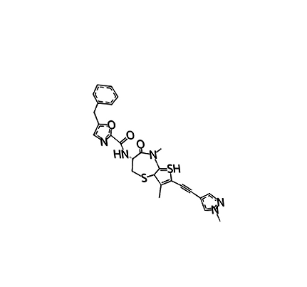 CC1=C(C#Cc2cnn(C)c2)[SH]=C2C1SC[C@H](NC(=O)c1ncc(Cc3ccccc3)o1)C(=O)N2C